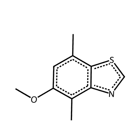 COc1cc(C)c2scnc2c1C